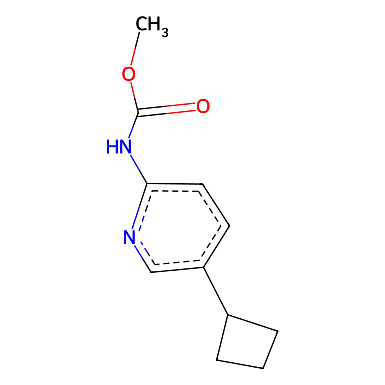 COC(=O)Nc1ccc(C2CCC2)cn1